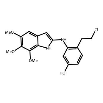 COc1cc2cc(Nc3cc(O)ccc3CCCl)[nH]c2c(OC)c1OC